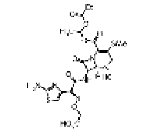 CCC(=O)OC(C)OC(=O)C1=C(SC)CS[C@H]2C(NC(=O)C(=NOCC(=O)O)c3csc(N)n3)C(=O)N12.Cl